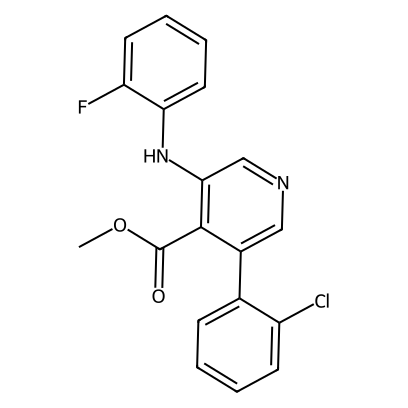 COC(=O)c1c(Nc2ccccc2F)cncc1-c1ccccc1Cl